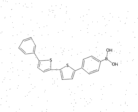 OB(O)c1ccc(-c2ccc(-c3ccc(-c4ccccc4)s3)s2)cc1